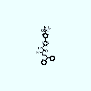 CC(C)N(CCC(c1ccccc1)c1ccccc1)C(=O)Nc1nc(-c2ccc(S(N)(=O)=O)cc2)ns1